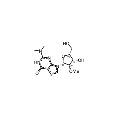 CO[C@@H]1[C@@H](O)[C@@H](CO)O[C@H]1n1cnc2c(=O)[nH]c(N(C)C)nc21